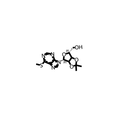 CSc1ncnc2c1ncn2[C@@H]1O[C@H](CO)C2OC(C)(C)OC21